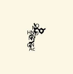 CC(=O)c1nc(Cn2ncc(NC(=O)c3nc(C)oc3-c3cccc(C)c3)n2)co1